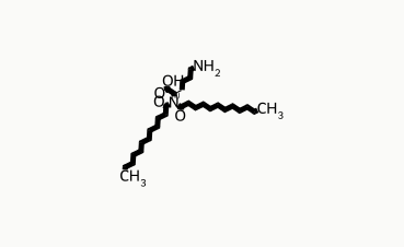 CCCCCCCCCCCC(=O)N(C(=O)CCCCCCCCCCC)[C@@H](CCCCN)C(=O)O